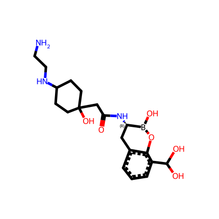 NCCNC1CCC(O)(CC(=O)N[C@H]2Cc3cccc(C(O)O)c3OB2O)CC1